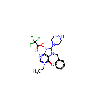 CCn1cnc2c(c1=O)N(Cc1ccccc1)C(N1CCNCC1)N2OC(=O)C(F)(F)F